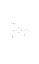 O=C(O)c1c(-n2c(=O)[nH]c3ccccc3c2=O)c2cc(Cl)ccc2n1CC1CCNC1